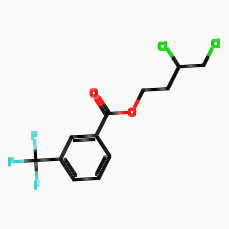 O=C(OCCC(Cl)CCl)c1cccc(C(F)(F)F)c1